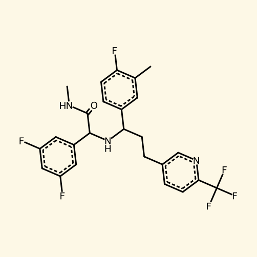 CNC(=O)C(NC(CCc1ccc(C(F)(F)F)nc1)c1ccc(F)c(C)c1)c1cc(F)cc(F)c1